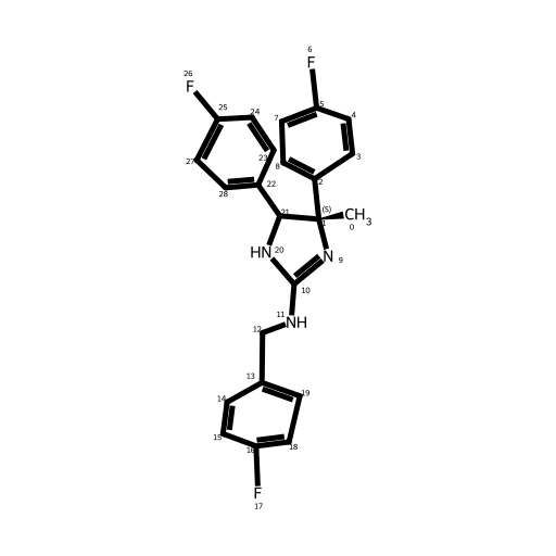 C[C@@]1(c2ccc(F)cc2)N=C(NCc2ccc(F)cc2)NC1c1ccc(F)cc1